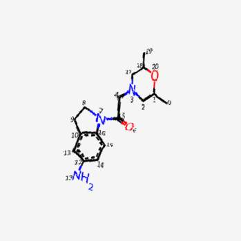 CC1CN(CC(=O)N2CCc3cc(N)ccc32)CC(C)O1